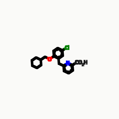 O=C(O)c1cccc(Cc2cc(Cl)ccc2OCC2CCCCC2)n1